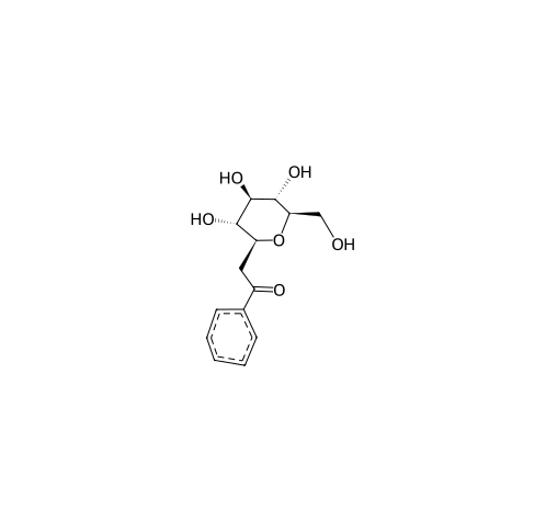 O=C(C[C@@H]1O[C@H](CO)[C@@H](O)[C@H](O)[C@H]1O)c1ccccc1